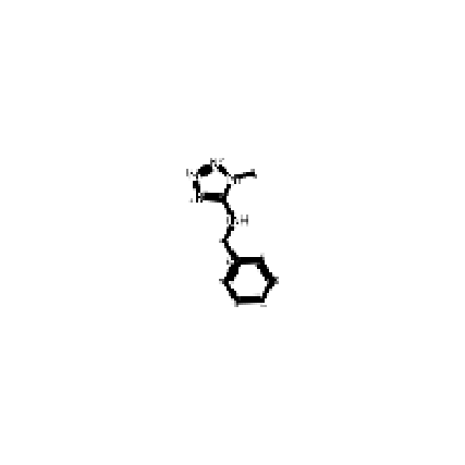 Cn1nnnc1NCc1ccccc1